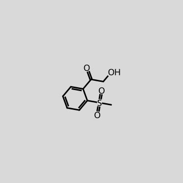 CS(=O)(=O)c1ccccc1C(=O)CO